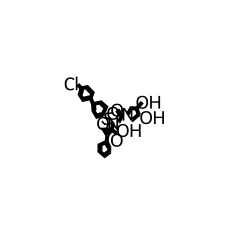 O=C(CN(C1(C(=O)O)CC1c1ccccc1)S(=O)(=O)c1ccc(-c2ccc(Cl)cc2)cc1)N1CC(O)C(O)C1